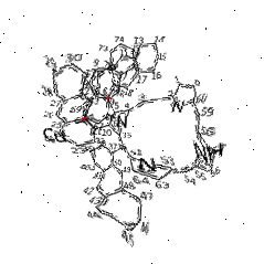 C1=Cc2cc3c(-c4cccc5cc6ccccc6cc45)c(-c4cccc5cc6ccccc6cc45)c(c(-c4cccc5cc6ccccc6cc45)c4nc(cc5ccc(cc1n2)[nH]5)C=C4)n3-c1cccc2cc3ccccc3cc12.[Cu]